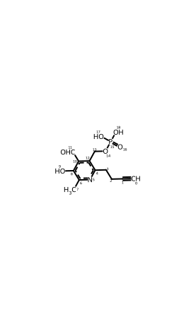 C#CCCc1nc(C)c(O)c(C=O)c1COP(=O)(O)O